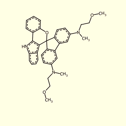 COCCN(C)c1ccc2c(c1)-c1cc(N(C)CCOC)ccc1C21Oc2ccccc2-c2[nH]c3ccccc3c21